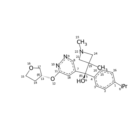 CC(C)c1ccc([C@](O)(c2cnnc(O[C@@H]3CCOC3)c2)C2(C)CN(C)C2)cc1